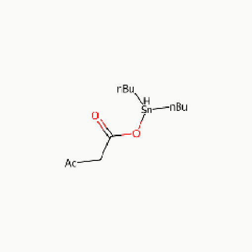 CCC[CH2][SnH]([CH2]CCC)[O]C(=O)CC(C)=O